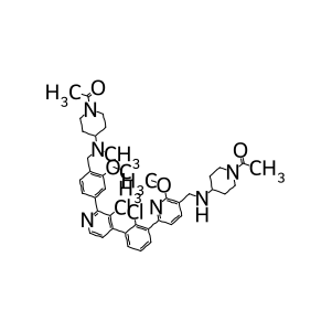 COc1cc(-c2nccc(-c3cccc(-c4ccc(CNC5CCN(C(C)=O)CC5)c(OC)n4)c3Cl)c2Cl)ccc1CN(C)C1CCN(C(C)=O)CC1